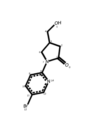 O=C1CC(CO)CN1c1ccc(Br)cn1